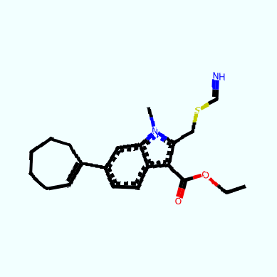 CCOC(=O)c1c(CSC=N)n(C)c2cc(C3=CCCCCC3)ccc12